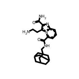 NCCc1c(C(N)=O)nc2cccc(C(=O)NCC34CC5CC(CC(C5)C3)C4)n12